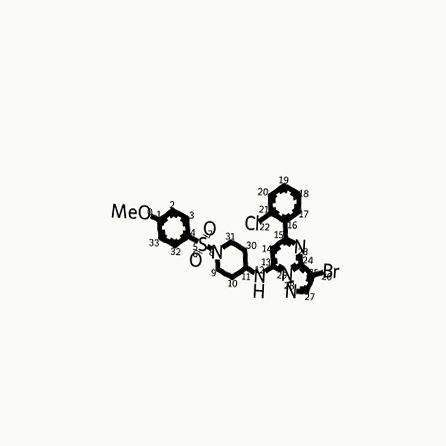 COc1ccc(S(=O)(=O)N2CCC(Nc3cc(-c4ccccc4Cl)nc4c(Br)cnn34)CC2)cc1